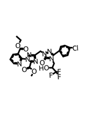 CCOC(=O)c1cccnc1-n1nc(Cn2nc(-c3ccc(Cl)cc3)n(CC(O)C(F)(F)F)c2=O)nc1C(=O)OC